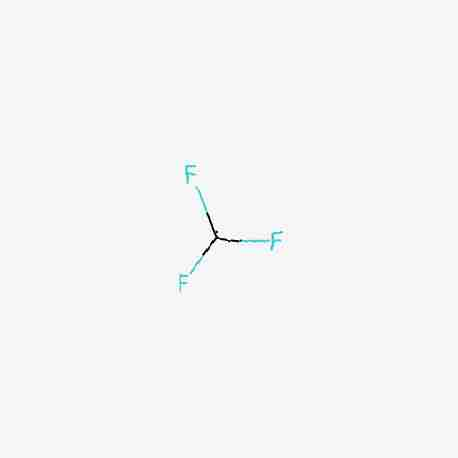 F[C](F)F